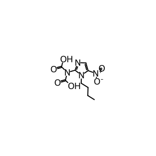 CCCCn1c([N+](=O)[O-])cnc1N(C(=O)O)C(=O)O